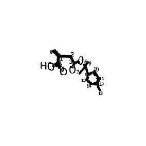 C=C(CC(=O)OC(C)(C)c1ccc(C)cc1)C(=O)O